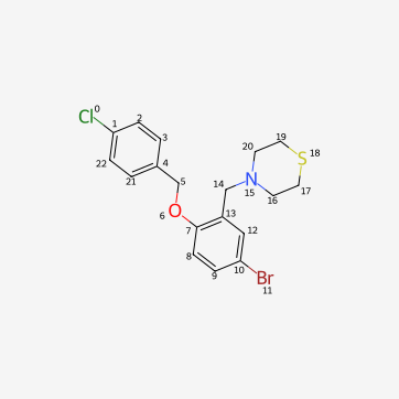 Clc1ccc(COc2ccc(Br)cc2CN2CCSCC2)cc1